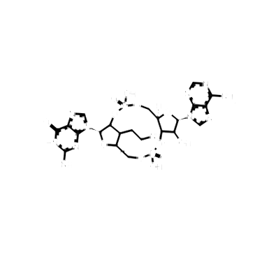 NCCC1C2OP(=O)(O)OC[C@H]3O[C@@H](n4cnc5c(N)ncnc54)C(O)C3OP(=O)(O)OC[C@H]1O[C@H]2n1cnc2c(=O)[nH]c(N)nc21